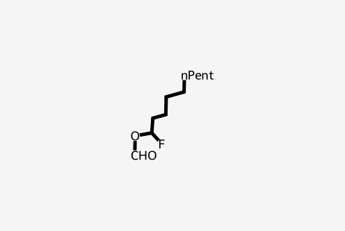 CCCCCCCCCC(F)OC=O